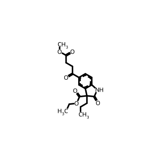 CCCC1(C(=O)OCC)C(=O)Nc2ccc(C(=O)CCC(=O)OC)cc21